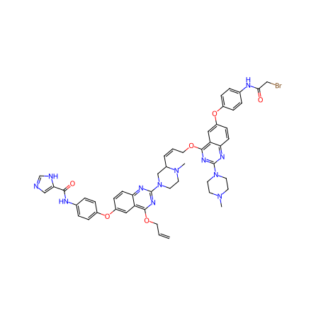 C=CCOc1nc(N2CCN(C)C(/C=C\COc3nc(N4CCN(C)CC4)nc4ccc(Oc5ccc(NC(=O)CBr)cc5)cc34)C2)nc2ccc(Oc3ccc(NC(=O)c4cnc[nH]4)cc3)cc12